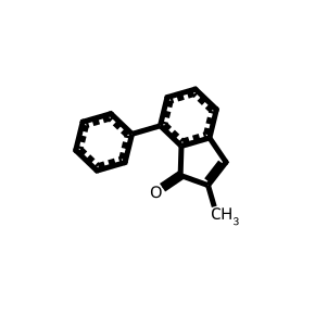 CC1=Cc2cccc(-c3ccccc3)c2C1=O